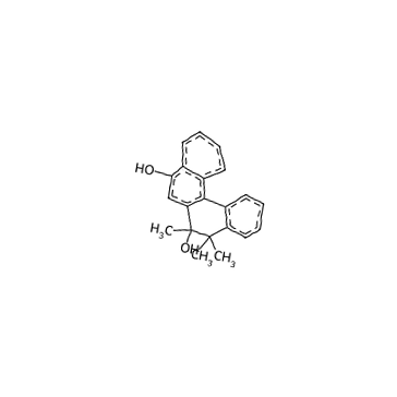 CC1(C)c2ccccc2-c2c(cc(O)c3ccccc23)C1(C)O